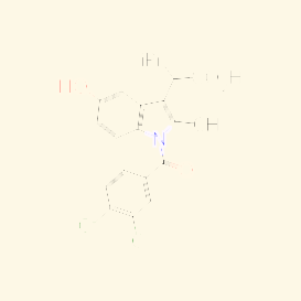 Cc1c(C(C(=O)O)C(C)C)c2cc(O)ccc2n1C(=O)c1ccc(Cl)c(Cl)c1